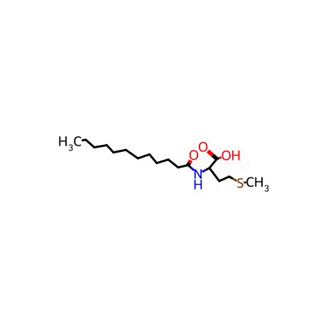 CCCCCCCCCCCC(=O)NC(CCSC)C(=O)O